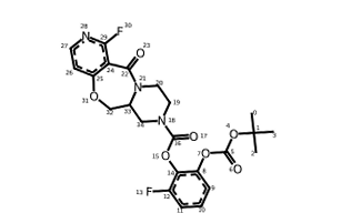 CC(C)(C)OC(=O)Oc1cccc(F)c1OC(=O)N1CCN2C(=O)c3c(ccnc3F)OCC2C1